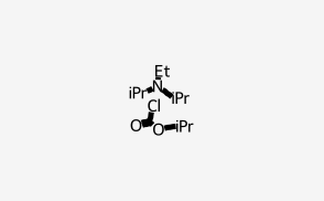 CC(C)OC(=O)Cl.CCN(C(C)C)C(C)C